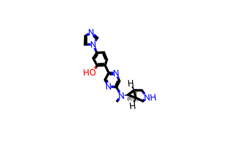 CN(c1cnc(-c2ccc(-n3ccnc3)cc2O)cn1)[C@@H]1[C@@H]2CNC[C@@H]21